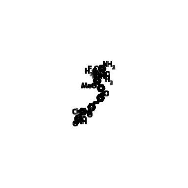 COc1cc2nc(C)nc(N[C@H](C)c3cc(N)cc(C(F)(F)F)c3)c2cc1C1CCC(C(=O)N2CCC(CCC3CCN(C(=O)c4ccc(Cl)c(-n5ccc(=O)[nH]c5=O)c4)CC3)CC2)CC1